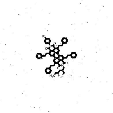 CCCCC(CC)CN1C(=O)c2c(CCc3ccccc3)cc3c4cc(CCc5ccccc5)c5c6c(c(CCc7ccccc7)cc(c7cc(CCc8ccccc8)c(c2c37)C1=O)c64)C(=O)N(c1ccc(Br)cc1)C5=O